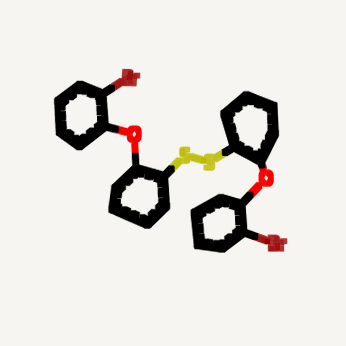 Brc1ccccc1Oc1ccccc1SSc1ccccc1Oc1ccccc1Br